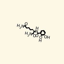 NC(=O)CCCC[C@@H](NC(=O)c1cccc(O)c1O)C(N)=O